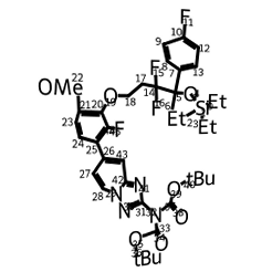 CC[Si](CC)(CC)OC(C)(c1ccc(F)cc1)C(F)(F)CCOc1c(OC)ccc(-c2ccn3nc(N(C(=O)OC(C)(C)C)C(=O)OC(C)(C)C)nc3c2)c1F